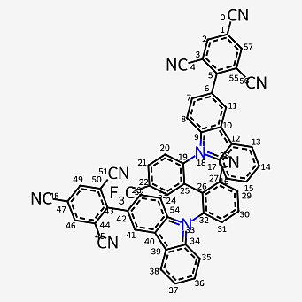 N#Cc1cc(C#N)c(-c2ccc3c(c2)c2ccccc2n3-c2ccc(C(F)(F)F)cc2-c2c(C#N)cccc2-n2c3ccccc3c3cc(-c4c(C#N)cc(C#N)cc4C#N)ccc32)c(C#N)c1